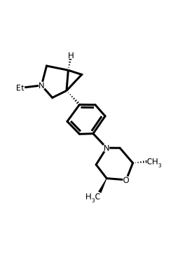 CCN1C[C@H]2C[C@@]2(c2ccc(N3C[C@H](C)O[C@@H](C)C3)cc2)C1